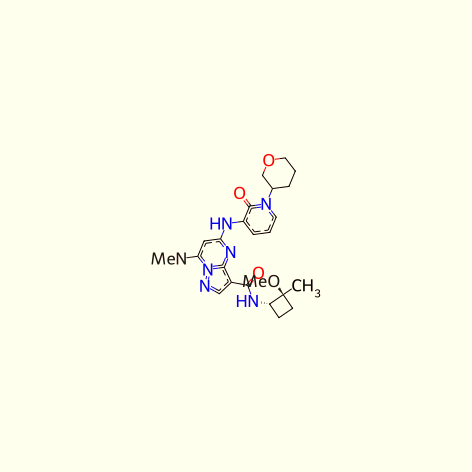 CNc1cc(Nc2cccn(C3CCCOC3)c2=O)nc2c(C(=O)N[C@H]3CC[C@]3(C)OC)cnn12